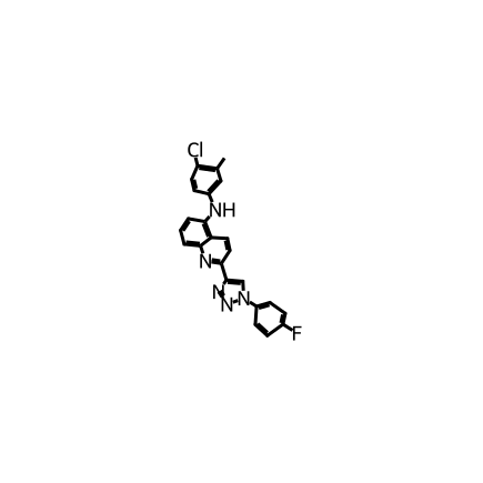 Cc1cc(Nc2cccc3nc(-c4cn(-c5ccc(F)cc5)nn4)ccc23)ccc1Cl